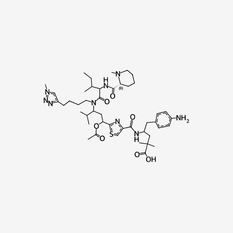 CCC(C)C(NC(=O)[C@H]1CCCCN1C)C(=O)N(CCCCc1cn(C)nn1)C(CC(OC(C)=O)c1nc(C(=O)NC(Cc2ccc(N)cc2)CC(C)(C)C(=O)O)cs1)C(C)C